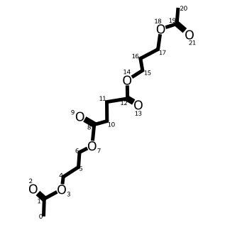 CC(=O)OCCCOC(=O)CCC(=O)OCCCOC(C)=O